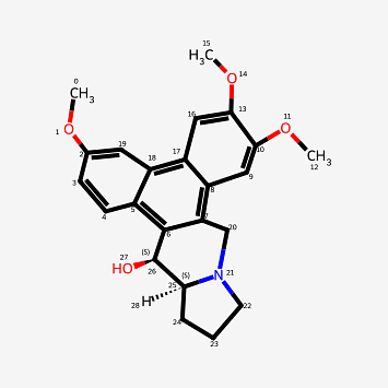 COc1ccc2c3c(c4cc(OC)c(OC)cc4c2c1)CN1CCC[C@H]1[C@H]3O